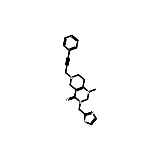 CN1CN(Cc2nccs2)C(=O)C2=C1CCN(CC#Cc1ccccc1)C2